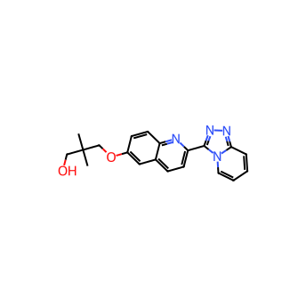 CC(C)(CO)COc1ccc2nc(-c3nnc4ccccn34)ccc2c1